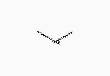 CCCCCCCCCCCCCCSCC(I)C(OC(C)=O)SCCCCCCCCCCCCCC